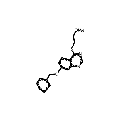 COCCSc1ncnc2cc(OCc3ccccc3)ccc12